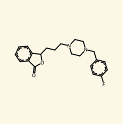 O=C1OC(CCCN2CCN(Cc3ccc(F)cc3)CC2)c2ccccc21